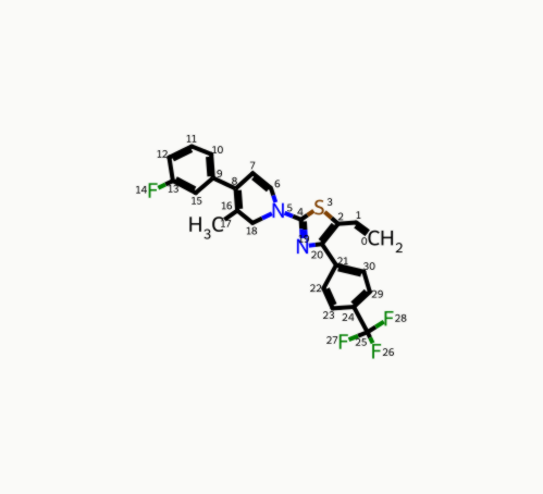 C=Cc1sc(N2C=CC(c3cccc(F)c3)=C(C)C2)nc1-c1ccc(C(F)(F)F)cc1